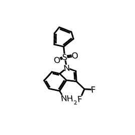 Nc1cccc2c1c(C(F)F)cn2S(=O)(=O)c1ccccc1